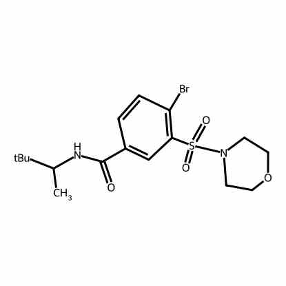 CC(NC(=O)c1ccc(Br)c(S(=O)(=O)N2CCOCC2)c1)C(C)(C)C